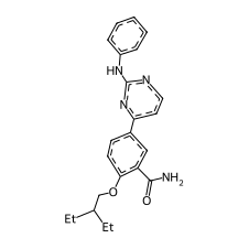 CCC(CC)COc1ccc(-c2ccnc(Nc3ccccc3)n2)cc1C(N)=O